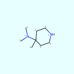 CN(C)C1(C)CCNCC1